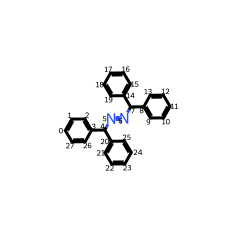 c1ccc(C(/N=N/C(c2ccccc2)c2ccccc2)c2ccccc2)cc1